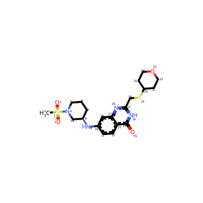 CS(=O)(=O)N1CCC[C@@H](Nc2ccc3c(=O)[nH]c(CSC4CCOCC4)nc3c2)C1